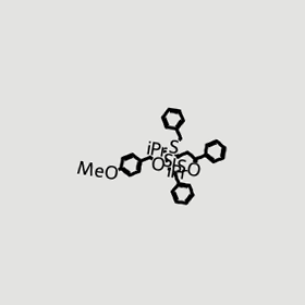 COc1ccc(CO[Si](C(C)C)(C(C)C)C(CC(=O)c2ccccc2)(SCc2ccccc2)SCc2ccccc2)cc1